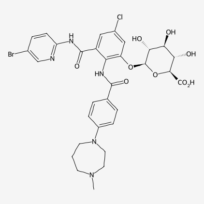 CN1CCCN(c2ccc(C(=O)Nc3c(O[C@@H]4O[C@H](C(=O)O)[C@@H](O)[C@H](O)[C@H]4O)cc(Cl)cc3C(=O)Nc3ccc(Br)cn3)cc2)CC1